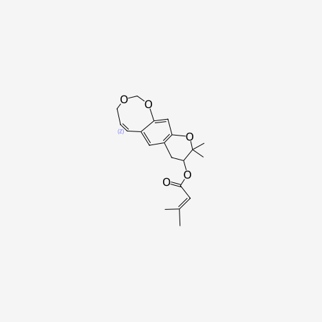 CC(C)=CC(=O)OC1Cc2cc3c(cc2OC1(C)C)OCOC/C=C\3